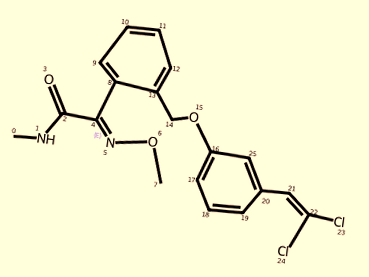 CNC(=O)/C(=N/OC)c1ccccc1COc1cccc(C=C(Cl)Cl)c1